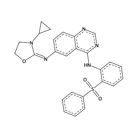 O=S(=O)(c1ccccc1)c1ccccc1Nc1ncnc2ccc(N=C3OCCN3C3CC3)cc12